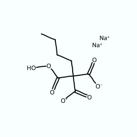 CCCCC(C(=O)[O-])(C(=O)[O-])C(=O)OO.[Na+].[Na+]